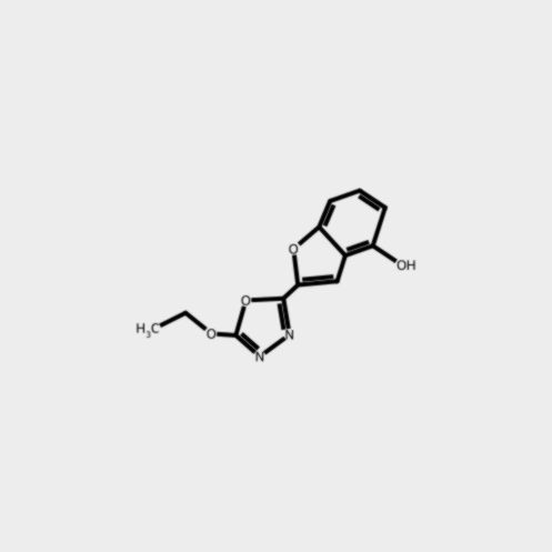 CCOc1nnc(-c2cc3c(O)cccc3o2)o1